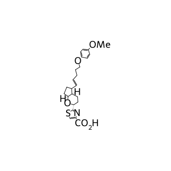 COc1ccc(OCCC/C=C/C2CC[C@@H]3O[C@@H](c4nc(C(=O)O)cs4)CC[C@H]23)cc1